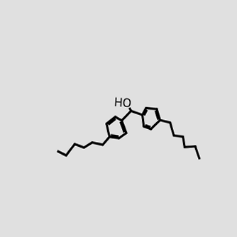 CCCCCCc1ccc(C(O)c2ccc(CCCCCC)cc2)cc1